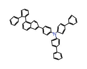 c1ccc(-c2ccc(N(c3ccc(-c4ccccc4)cc3)c3ccc(-c4ccc5c(-c6ccccc6-c6ccccc6)cccc5c4)cc3)cc2)cc1